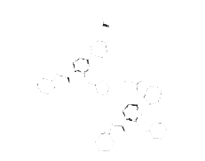 O=C(O)C[C@@H]1CCCN(c2ccc(C(=O)NC3CCCCC3)c(SC3CCCC3)n2)C1.O=C(O)C[C@]1(c2ccc(C(=O)NC3CCCCC3)c(SC3CCCCC3)n2)CCCNC1